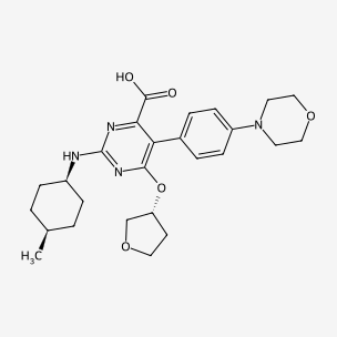 C[C@H]1CC[C@@H](Nc2nc(O[C@@H]3CCOC3)c(-c3ccc(N4CCOCC4)cc3)c(C(=O)O)n2)CC1